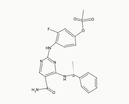 C[C@@H](Nc1nc(Nc2ccc(OS(C)(=O)=O)cc2F)ncc1C(N)=O)c1ccccc1